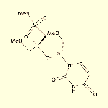 CNS(=O)(=O)C[C@H](COC)O[C@H](COC)n1ccc(=O)[nH]c1=O